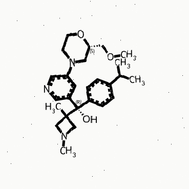 COC[C@@H]1CN(c2cncc([C@@](O)(c3ccc(C(C)C)cc3)C3(C)CN(C)C3)c2)CCO1